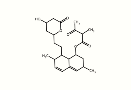 CC(=O)C(C)C(=O)OC1CC(C)C=C2C=CC(C)C(CCC3CC(O)CC(=O)O3)C21